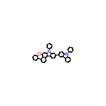 c1ccc(-n2c3ccccc3c3cc(-c4ccc5c6c7cccc8c7c(cc6n(-c6ccccc6)c5c4)Oc4ccccc4-8)ccc32)cc1